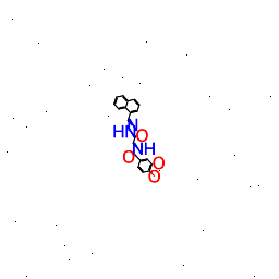 COc1ccc(C(=O)NCC(=O)N/N=C/c2cccc3ccccc23)cc1OC